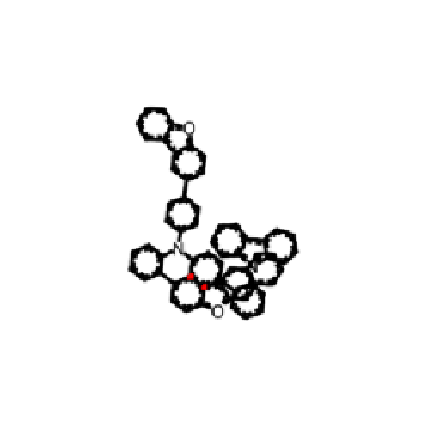 c1ccc(N(c2ccc(-c3ccc4oc5ccccc5c4c3)cc2)c2ccc(-c3ccccc3-n3c4ccccc4c4ccccc43)cc2)c(-c2ccc3oc4cc5ccccc5cc4c3c2)c1